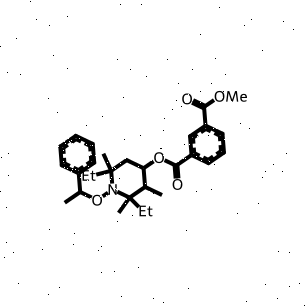 CCC1(C)CC(OC(=O)c2cccc(C(=O)OC)c2)C(C)C(C)(CC)N1OC(C)c1ccccc1